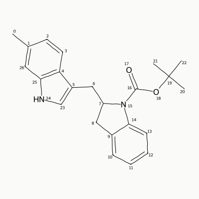 Cc1ccc2c(CC3Cc4ccccc4N3C(=O)OC(C)(C)C)c[nH]c2c1